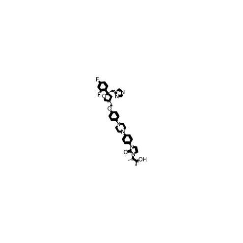 C[C@H](O)[C@H](C)n1ccn(-c2ccc(N3CCN(c4ccc(OC[C@@H]5CO[C@@](Cn6cncn6)(c6ccc(F)cc6F)C5)cc4)CC3)cc2)c1=O